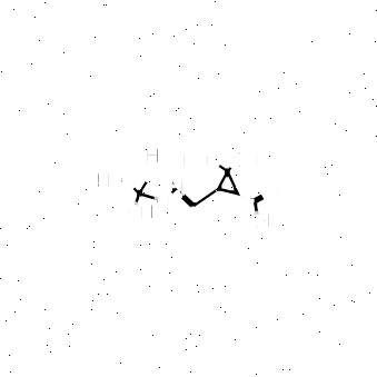 CC(C)(C)ON=CC1[C@@H](C(=O)O)C1(C)C